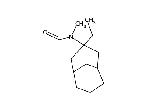 CCC1(N(C)C=O)CC2CCCC(C2)C1